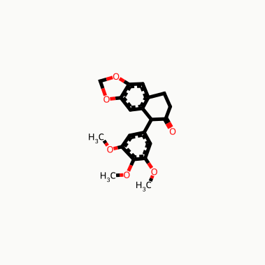 COc1cc(C2C(=O)CCc3cc4c(cc32)OCO4)cc(OC)c1OC